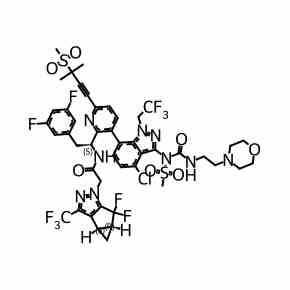 CC(C)(C#Cc1ccc(-c2ccc(Cl)c3c(N(C(=O)NCCN4CCOCC4)S(C)(=O)=O)nn(CC(F)(F)F)c23)c([C@H](Cc2cc(F)cc(F)c2)NC(=O)Cn2nc(C(F)(F)F)c3c2C(F)(F)[C@@H]2C[C@H]32)n1)S(C)(=O)=O